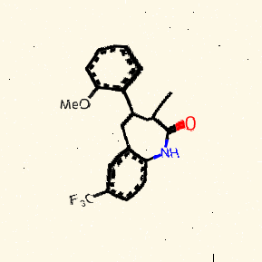 COc1ccccc1C1Cc2cc(C(F)(F)F)ccc2NC(=O)C1C